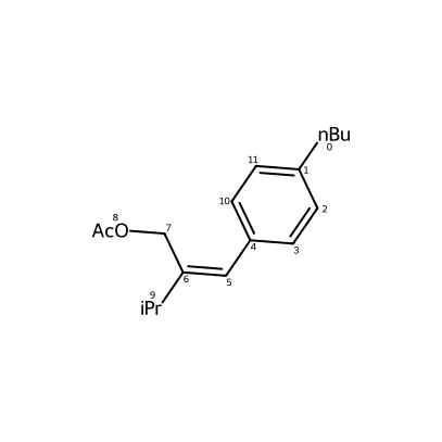 CCCCc1ccc(C=C(COC(C)=O)C(C)C)cc1